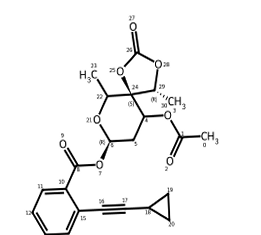 CC(=O)OC1C[C@@H](OC(=O)c2ccccc2C#CC2CC2)OC(C)[C@@]12OC(=O)O[C@@H]2C